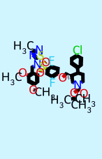 COc1ccc(CN(c2nc(C)ns2)S(=O)(=O)c2cc(F)c(OC[C@@H]3CN(C(=O)OC(C)(C)C)CCC3c3ccc(Cl)cc3)cc2F)c(OC)c1